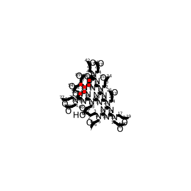 OCCCN(CC1CO1)c1nc(N(CC2CO2)CC2CO2)nc(N(CC2CO2)c2nc(N(CC3CO3)c3nc(N(CC4CO4)CC4CO4)nc(N(CC4CO4)CC4CO4)n3)nc(N(CC3CO3)c3nc(N(CC4CO4)CC4CO4)nc(N(CC4CO4)CC4CO4)n3)n2)n1